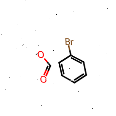 Brc1ccccc1.[O]C=O